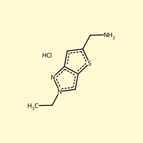 CCn1cc2sc(CN)cc2n1.Cl